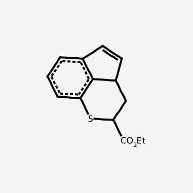 CCOC(=O)C1CC2C=Cc3cccc(c32)S1